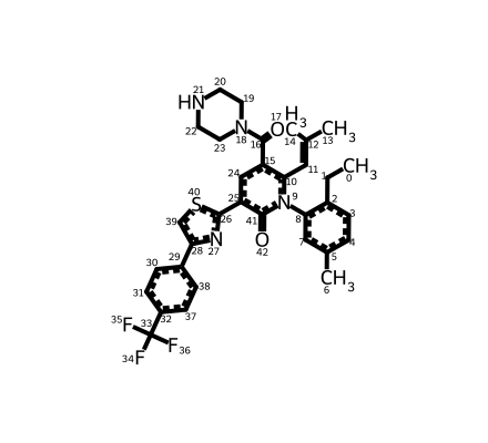 CCc1ccc(C)cc1-n1c(C=C(C)C)c(C(=O)N2CCNCC2)cc(-c2nc(-c3ccc(C(F)(F)F)cc3)cs2)c1=O